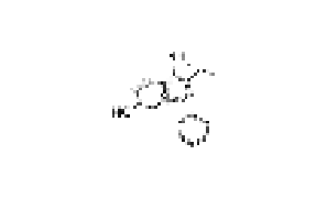 CCc1ccn(C(C)C(=O)O)c(=O)c1N.c1ccccc1